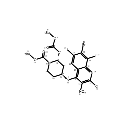 CC(C)(C)OC(=O)C[C@@H]1C[C@@H](Nc2c([N+](=O)[O-])c(Cl)nc3c(F)c(Br)c(I)cc23)CCN1C(=O)OC(C)(C)C